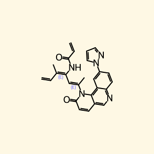 C=CC(=O)NC(/C=C(\C)n1c(=O)ccc2cnc3ccc(-n4cccn4)cc3c21)=C(\C)C=C